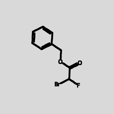 O=C(OCc1ccccc1)C(F)Br